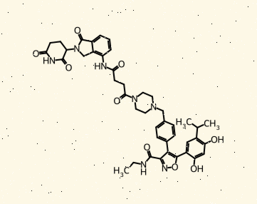 CCNC(=O)c1noc(-c2cc(C(C)C)c(O)cc2O)c1-c1ccc(CN2CCN(C(=O)CCC(=O)Nc3cccc4c3CN(C3CCC(=O)NC3=O)C4=O)CC2)cc1